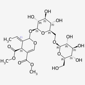 C/C=C1/C(O[C@@H]2O[C@H](CO[C@@H]3O[C@H](CO)[C@@H](O)[C@H](O)[C@H]3O)[C@@H](O)[C@H](O)[C@H]2O)OC=C(C(=O)OC)[C@H]1C(=O)OC